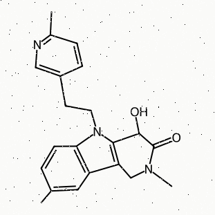 Cc1ccc2c(c1)c1c(n2CCc2ccc(C)nc2)C(O)C(=O)N(C)C1